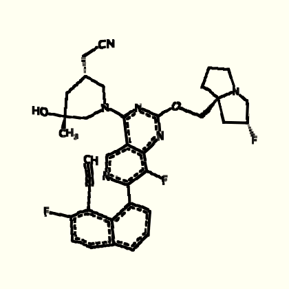 C#Cc1c(F)ccc2cccc(-c3ncc4c(N5C[C@@H](CC#N)C[C@@](C)(O)C5)nc(OC[C@@]56CCCN5C[C@H](F)C6)nc4c3F)c12